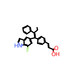 CCC(=C(c1ccc(C=CC(=O)O)cc1)c1cc(F)c2[nH]ccc2c1)c1ccccc1